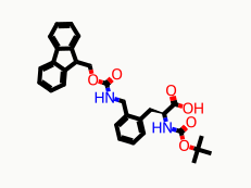 CC(C)(C)OC(=O)N[C@@H](Cc1ccccc1CNC(=O)OCC1c2ccccc2-c2ccccc21)C(=O)O